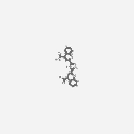 O=C(O)c1cc(-c2nnc(-c3cc(C(=O)O)c4ccccc4n3)[nH]2)nc2ccccc12